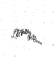 C/N=C(\NC(C)C(C)C(C)C)[C@@H]1CCCN1C(=O)[C@@H](NC(=O)OC)C(C)C